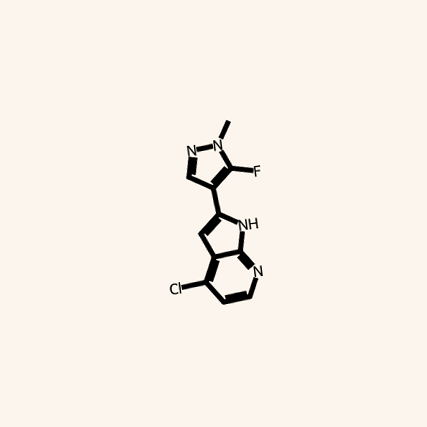 Cn1ncc(-c2cc3c(Cl)ccnc3[nH]2)c1F